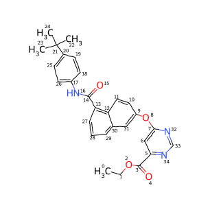 CCOC(=O)c1cc(Oc2ccc3c(C(=O)Nc4ccc(C(C)(C)C)cc4)cccc3c2)ncn1